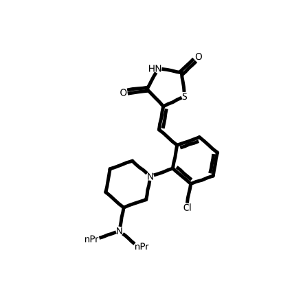 CCCN(CCC)C1CCCN(c2c(Cl)cccc2/C=C2\SC(=O)NC2=O)C1